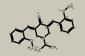 COc1ccccc1/C=C1\CN(C(C)C)C/C(=C\c2ccccc2OC)C1=O